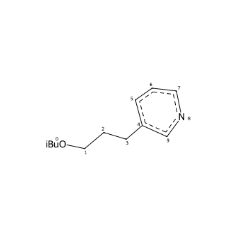 CC(C)COCCCc1cccnc1